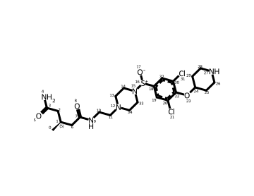 C[C@@H](CC(N)=O)CC(=O)NCCN1CCN([S+]([O-])c2cc(Cl)c(OC3CCNCC3)c(Cl)c2)CC1